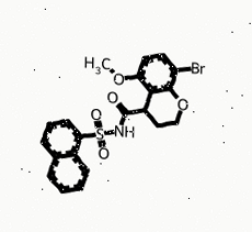 COc1ccc(Br)c2c1C(C(=O)NS(=O)(=O)c1cccc3ccccc13)CCO2